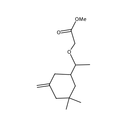 C=C1CC(C(C)OCC(=O)OC)CC(C)(C)C1